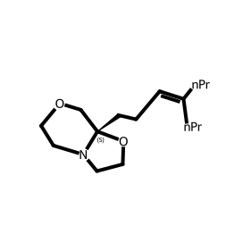 CCCC(=CCC[C@]12COCCN1CCO2)CCC